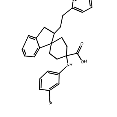 O=C(O)C1(Nc2cccc(Br)c2)CCC2(CC1)c1ccccc1CC2CCc1ccccn1